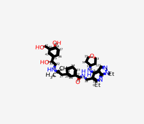 CCc1nc2c(cnn2CC)c(NC2CCOCC2)c1CNC(=O)c1cccc(CC(C)(C)NC[C@H](O)c2ccc(O)c(CO)c2)c1